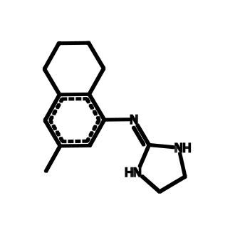 Cc1cc2c(c(N=C3NCCN3)c1)CCCC2